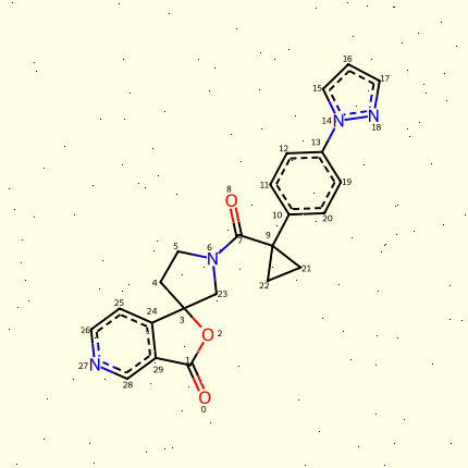 O=C1OC2(CCN(C(=O)C3(c4ccc(-n5cccn5)cc4)CC3)C2)c2ccncc21